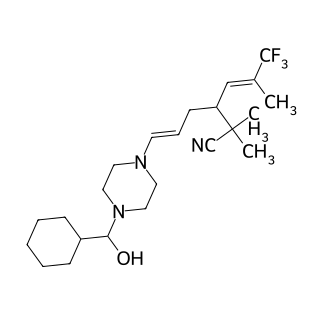 C/C(=C\C(C/C=C/N1CCN(C(O)C2CCCCC2)CC1)C(C)(C)C#N)C(F)(F)F